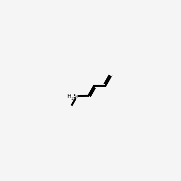 [CH]=CC=C[SiH2]C